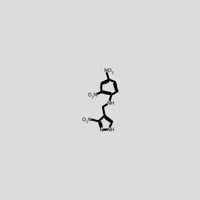 O=[N+]([O-])c1ccc(NCc2c[nH]nc2[N+](=O)[O-])c([N+](=O)[O-])c1